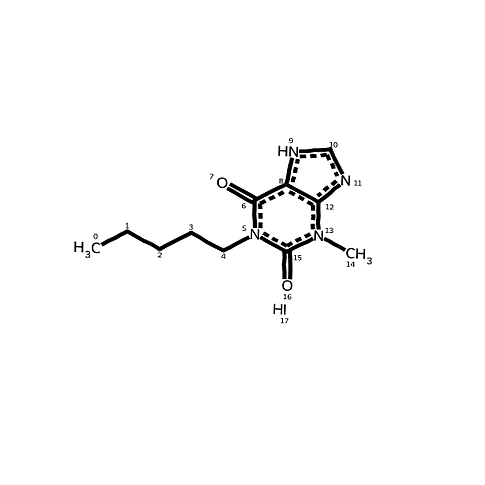 CCCCCn1c(=O)c2[nH]cnc2n(C)c1=O.I